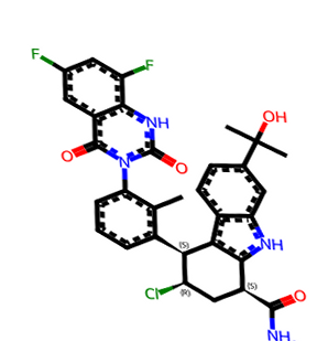 Cc1c([C@H]2c3c([nH]c4cc(C(C)(C)O)ccc34)[C@@H](C(N)=O)C[C@H]2Cl)cccc1-n1c(=O)[nH]c2c(F)cc(F)cc2c1=O